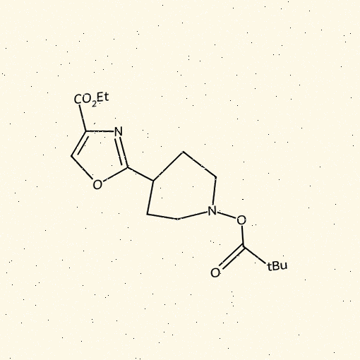 CCOC(=O)c1coc(C2CCN(OC(=O)C(C)(C)C)CC2)n1